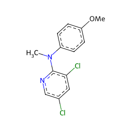 COc1ccc(N(C)c2ncc(Cl)cc2Cl)cc1